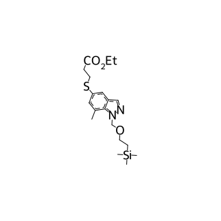 CCOC(=O)CCSc1cc(C)c2c(cnn2COCC[Si](C)(C)C)c1